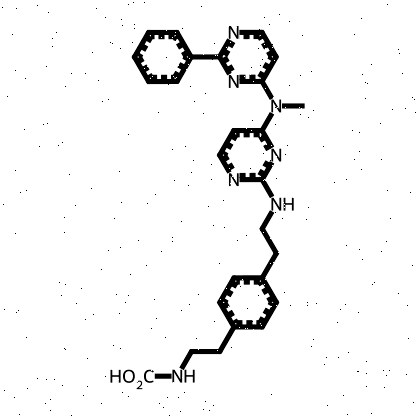 CN(c1ccnc(NCCc2ccc(CCNC(=O)O)cc2)n1)c1ccnc(-c2ccccc2)n1